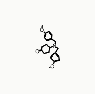 COc1ccc(CN(Cc2ccc(OC)cc2)C2CCC(=O)CC2)cc1